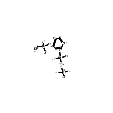 F[B-](F)(F)F.F[B-](F)(F)F.F[B-](F)(F)F.[KH].c1ccncc1